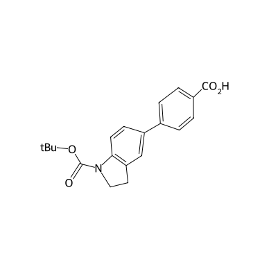 CC(C)(C)OC(=O)N1CCc2cc(-c3ccc(C(=O)O)cc3)ccc21